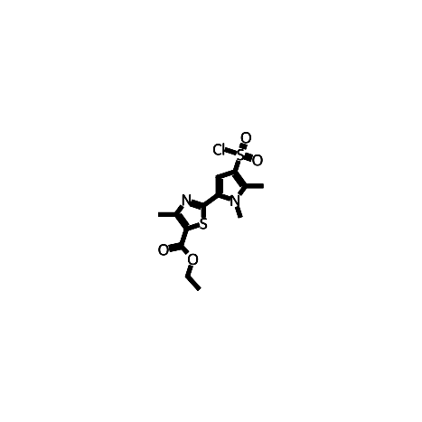 CCOC(=O)c1sc(-c2cc(S(=O)(=O)Cl)c(C)n2C)nc1C